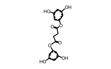 O=C(CCC(=O)Oc1cc(O)cc(O)c1)Oc1cc(O)cc(O)c1